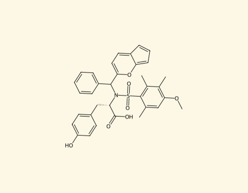 COc1cc(C)c(S(=O)(=O)N(C(c2ccccc2)c2ccc3cccc-3o2)[C@@H](Cc2ccc(O)cc2)C(=O)O)c(C)c1C